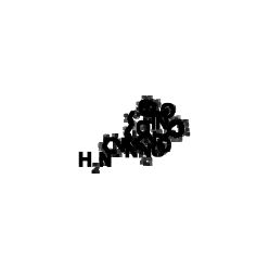 CC=CCn1c(N2CCCC(N)C2)nc2c1c(=O)n(CC(=O)c1ccccc1NC(=O)C13CCC(CC1)CC3)c(=O)n2C